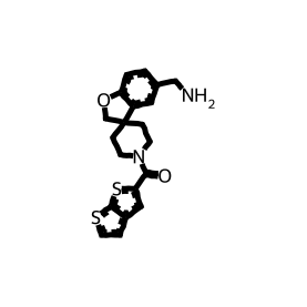 NCc1ccc2c(c1)C1(CCN(C(=O)c3cc4ccsc4s3)CC1)CO2